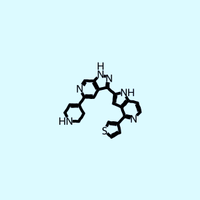 C1=C(c2cc3c(-c4cc5c(-c6ccsc6)nccc5[nH]4)n[nH]c3cn2)CCNC1